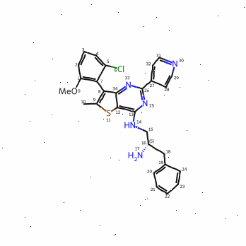 COc1cccc(Cl)c1-c1c(C)sc2c(NC[C@@H](N)Cc3ccccc3)nc(-c3ccncc3)nc12